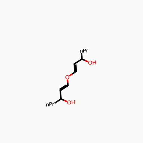 CCCC(O)C=COC=CC(O)CCC